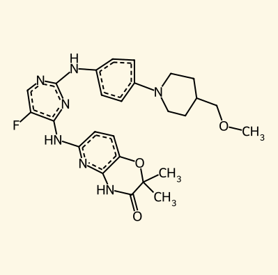 COCC1CCN(c2ccc(Nc3ncc(F)c(Nc4ccc5c(n4)NC(=O)C(C)(C)O5)n3)cc2)CC1